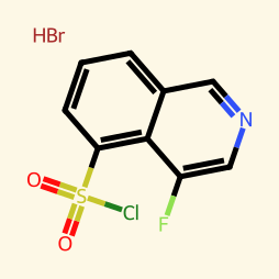 Br.O=S(=O)(Cl)c1cccc2cncc(F)c12